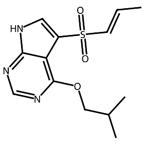 C/C=C/S(=O)(=O)c1c[nH]c2ncnc(OCC(C)C)c12